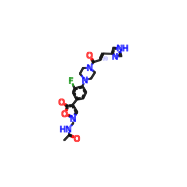 CC(=O)NCn1cc(-c2ccc(N3CCN(C(=O)/C=C/c4c[nH]cn4)CC3)c(F)c2)c(=O)o1